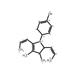 C/C=C\C1=C(C)C(C)C(/C=C\C)N1C1C=CC(C#N)=CC1